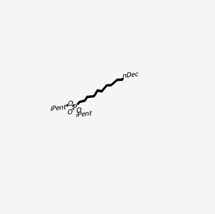 CCCCCCCCCCCCCCCCCCCCP(=O)(OC(C)CCC)OC(C)CCC